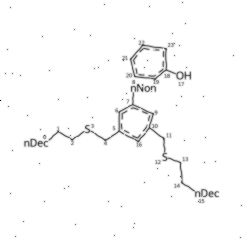 CCCCCCCCCCCCSCc1cc(CCCCCCCCC)cc(CSCCCCCCCCCCCC)c1.Oc1ccccc1